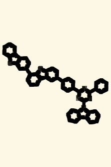 c1ccc(-c2nc(-c3ccc(-c4ccc5oc6c(-c7ccc8c(c7)oc7ccccc78)cccc6c5c4)cc3)nc(-n3c4ccccc4c4ccccc43)n2)cc1